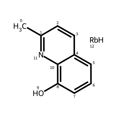 Cc1ccc2cccc(O)c2n1.[RbH]